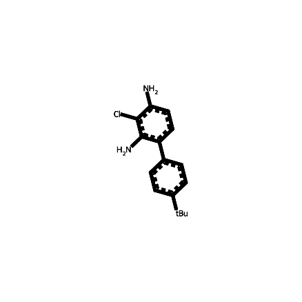 CC(C)(C)c1ccc(-c2ccc(N)c(Cl)c2N)cc1